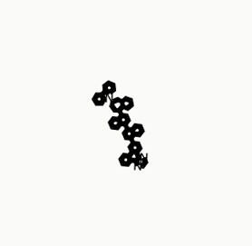 C1=CC2=C(c3ccc(-c4ccc(-c5ccc6c(c5)c5ccccc5c5nccnc65)c5ccccc45)c4ccccc34)C=CC(n3c4ccccc4c4ccccc43)=CC2C=C1